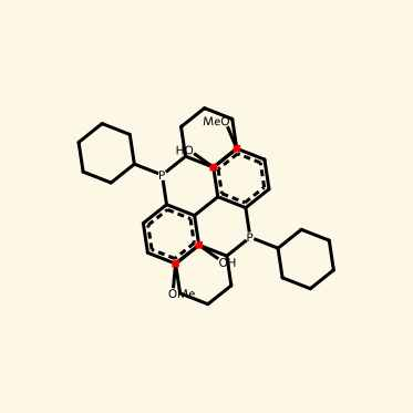 COc1ccc(P(C2CCCCC2)C2CCCCC2)c(-c2c(P(C3CCCCC3)C3CCCCC3)ccc(OC)c2O)c1O